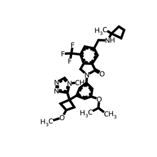 COC1CC(c2cc(OC(C)C)cc(N3Cc4c(cc(CNC5(C)CCC5)cc4C(F)(F)F)C3=O)c2)(c2nncn2C)C1